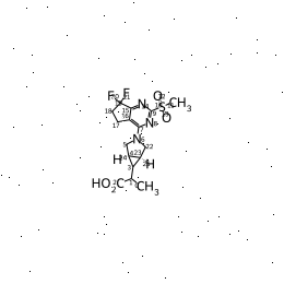 CC(C(=O)O)C1[C@H]2CN(c3nc(S(C)(=O)=O)nc4c3CCC4(F)F)C[C@@H]12